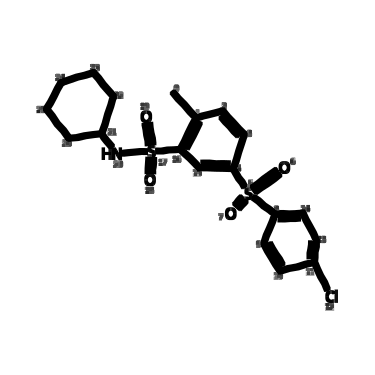 Cc1ccc(S(=O)(=O)c2ccc(Cl)cc2)cc1S(=O)(=O)NC1CCCCC1